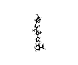 C=C(C)c1ccncc1OC1CCC(c2cc(NC(=O)Cc3cc(C)no3)n[nH]2)C1